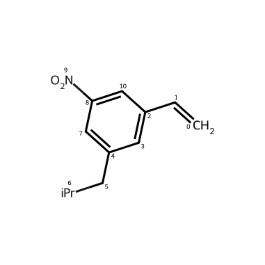 C=Cc1cc(CC(C)C)cc([N+](=O)[O-])c1